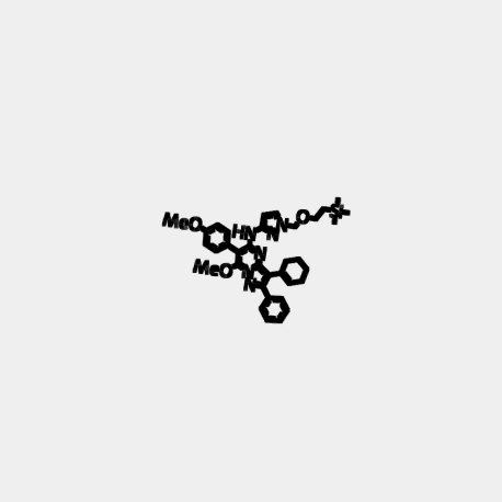 COc1ccc(-c2c(Nc3ccn(COCC[Si](C)(C)C)n3)nc3c(C4=CCCCC4)c(-c4ccccc4)nn3c2OC)cc1